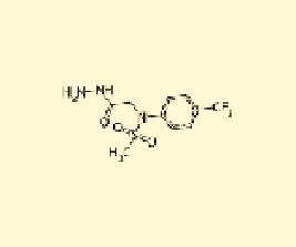 CS(=O)(=O)N(CC(=O)NN)c1ccc(C(F)(F)F)cc1